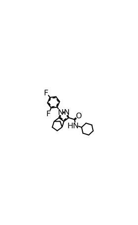 O=C(NC1CCCCC1)c1nn(-c2ccc(F)cc2F)c2c1C1CCC2C1